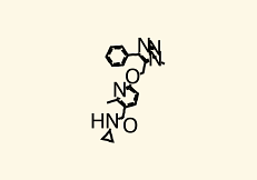 Cc1nc(OCc2c(-c3ccccc3)nnn2C)ccc1C(=O)NC1CC1